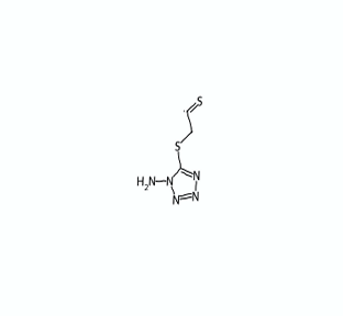 Nn1nnnc1SC[C]=S